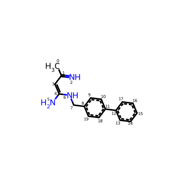 CC(=N)/C=C(/N)NCc1ccc(-c2ccccc2)cc1